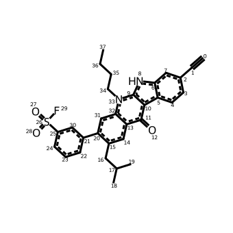 C#Cc1ccc2c(c1)[nH]c1c2c(=O)c2cc(CC(C)C)c(-c3cccc(S(=O)(=O)F)c3)cc2n1CCCC